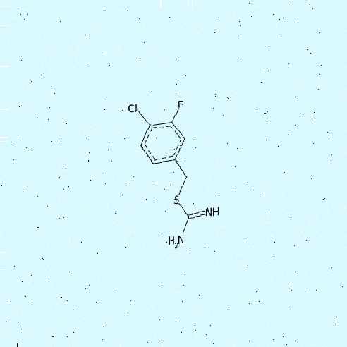 N=C(N)SCc1ccc(Cl)c(F)c1